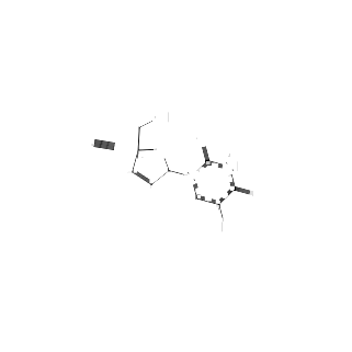 C#C[C@@]1(CO)C=CC(n2cc(F)c(=O)[nH]c2=O)O1